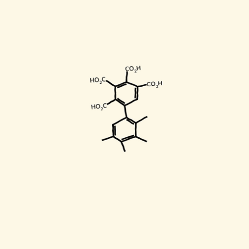 Cc1cc(-c2cc(C(=O)O)c(C(=O)O)c(C(=O)O)c2C(=O)O)c(C)c(C)c1C